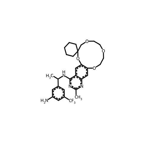 Cc1nc(NC(C)c2cc(N)cc(C(F)(F)F)c2)c2cc3c(cc2n1)OCCOCCOCC1(CCCCC1)O3